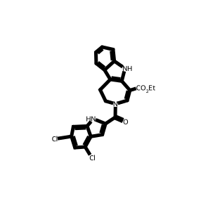 CCOC(=O)C1=CN(C(=O)c2cc3c(Cl)cc(Cl)cc3[nH]2)CCc2c1[nH]c1ccccc21